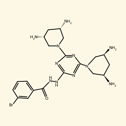 N[C@@H]1C[C@H](N)CN(c2nc(NNC(=O)c3cccc(Br)c3)nc(N3C[C@H](N)C[C@H](N)C3)n2)C1